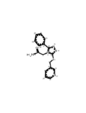 NC(=O)Cn1c(SCc2cccnc2)nnc1-c1ccccc1